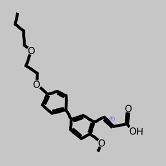 CCCCOCCOc1ccc(-c2ccc(OC)c(/C=C/C(=O)O)c2)cc1